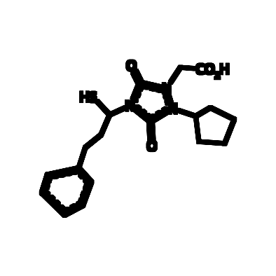 O=C(O)Cn1c(=O)n(C(S)CCc2ccccc2)c(=O)n1C1CCCC1